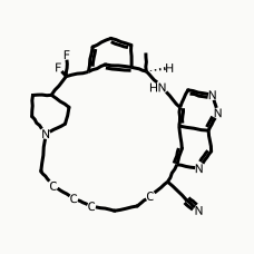 C[C@H]1Nc2cnnc3cnc(cc23)C(C#N)CCCCCCCN2CCC(CC2)C(F)(F)c2cccc1c2